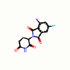 O=C1CCC(N2C(=O)c3cc(F)cc(I)c3C2=O)C(=O)N1